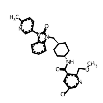 COCc1ncc(Cl)cc1C(=O)N[C@H]1CC[C@H](Cn2c(=O)n(-c3ccc(C)nc3)c3ccccc32)CC1